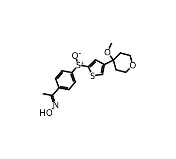 COC1(c2csc([S+]([O-])c3ccc(C(C)=NO)cc3)c2)CCOCC1